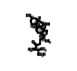 C[C@H](CCC(=O)N(C)[C@@H](C)C(=O)O)[C@H]1CC[C@H]2[C@@H]3[C@@H](O)C[C@@H]4C[C@H](O)CC[C@]4(C)[C@H]3CC[C@]12C